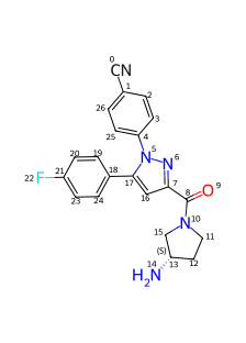 N#Cc1ccc(-n2nc(C(=O)N3CC[C@H](N)C3)cc2-c2ccc(F)cc2)cc1